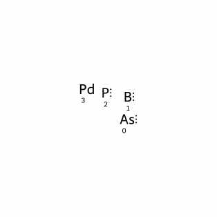 [As].[B].[P].[Pd]